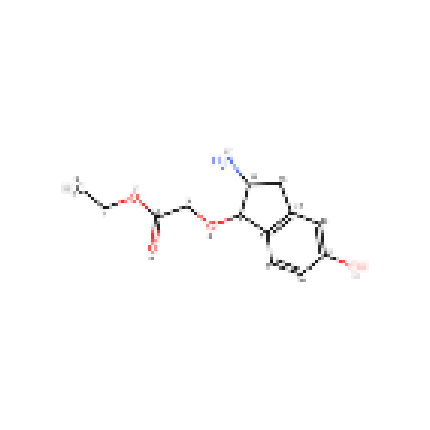 CCOC(=O)COC1c2ccc(O)cc2CC1N